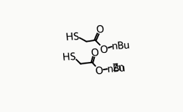 CCCCOC(=O)CS.CCCCOC(=O)CS.[Zn]